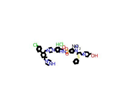 CC1(CN2CCNCC2)CCC(c2ccc(Cl)cc2)=C(CN2CCN(c3ccc(C(=O)NS(=O)(=O)c4ccc(NC(CCN5CCC(CO)CC5)CSc5ccccc5)c([N+](=O)[O-])c4)cc3)CC2)C1.Cl